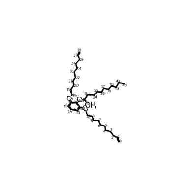 C=CCCCCCCCCCOc1cccc(OCCCCCCCCCC=C)c1OC(O)CCCCCCCCCC